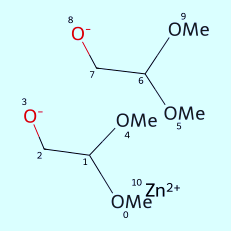 COC(C[O-])OC.COC(C[O-])OC.[Zn+2]